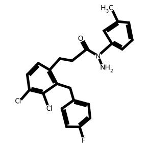 Cc1cccc(N(N)C(=O)CCc2ccc(Cl)c(Cl)c2Cc2ccc(F)cc2)c1